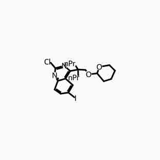 CCCC(CCC)(COC1CCCCO1)c1nc(Cl)nc2ccc(I)cc12